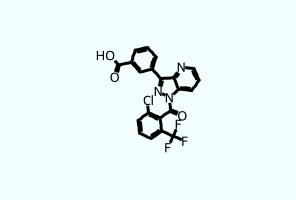 O=C(O)c1cccc(-c2nn(C(=O)c3c(Cl)cccc3C(F)(F)F)c3cccnc23)c1